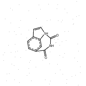 O=C1NC(=O)[SH]2C=Cc3ccc1cc32